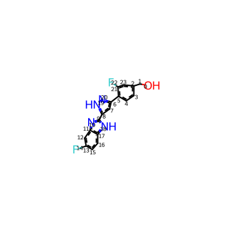 OCc1ccc(-c2cc(-c3nc4cc(F)ccc4[nH]3)[nH]n2)c(F)c1